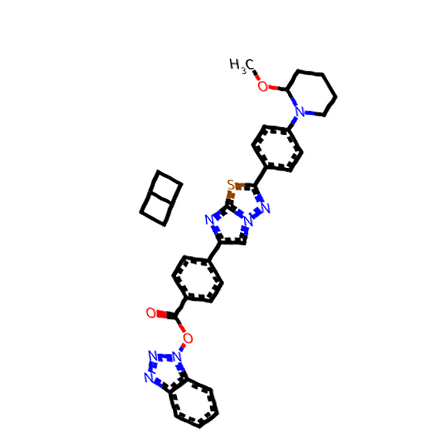 C1CC2CCC12.COC1CCCCN1c1ccc(-c2nn3cc(-c4ccc(C(=O)On5nnc6ccccc65)cc4)nc3s2)cc1